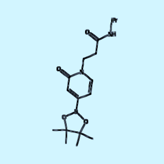 CC(C)NC(=O)CCn1ccc(B2OC(C)(C)C(C)(C)O2)cc1=O